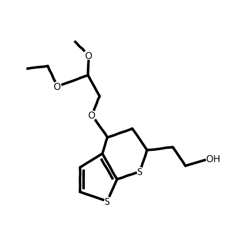 CCOC(COC1CC(CCO)Sc2sccc21)OC